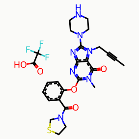 CC#CCn1c(N2CCNCC2)nc2nc(Oc3ccccc3C(=O)N3CCSC3)n(C)c(=O)c21.O=C(O)C(F)(F)F